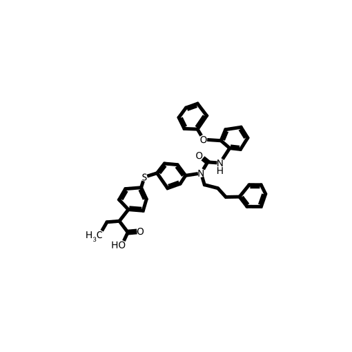 CCC(C(=O)O)c1ccc(Sc2ccc(N(CCCc3ccccc3)C(=O)Nc3ccccc3Oc3ccccc3)cc2)cc1